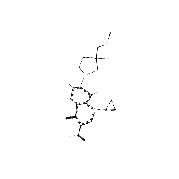 CNCC1(O)CCN(c2c(F)cc3c(=O)c(C(=O)O)cn(C4CC4)c3c2Cl)C1